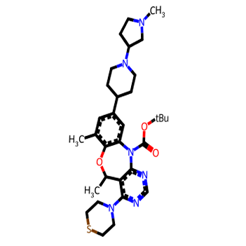 Cc1cc(C2CCN(C3CCN(C)C3)CC2)cc2c1OC(C)c1c(N3CCSCC3)ncnc1N2C(=O)OC(C)(C)C